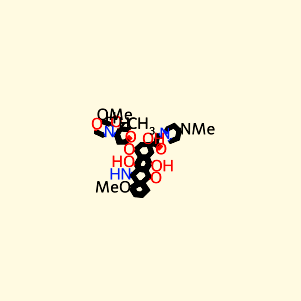 CNC1CCN(CC(=O)C2(O)Cc3c(O)c4c(c(O)c3C(O[C@H]3C=C5[C@H](O[C@@H]6[C@@H](OC)OCCN56)[C@H](C)O3)C2)C(=N)c2c(OC)cccc2C4=O)CC1